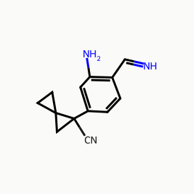 N#CC1(c2ccc(C=N)c(N)c2)CC12CC2